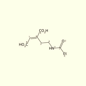 CCC(=O)NCC/C(=C\C(=O)O)C(=O)O